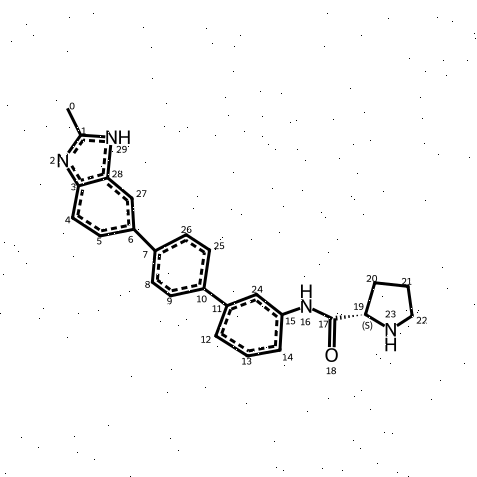 Cc1nc2ccc(-c3ccc(-c4cccc(NC(=O)[C@@H]5CCCN5)c4)cc3)cc2[nH]1